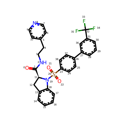 O=C(NCCc1ccncc1)[C@@H]1Cc2ccccc2N1S(=O)(=O)c1ccc(-c2cccc(C(F)(F)F)c2)cc1